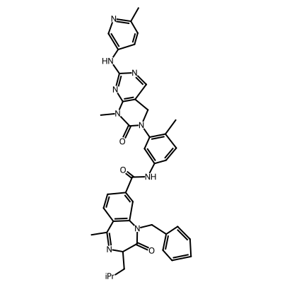 CC1=NC(CC(C)C)C(=O)N(Cc2ccccc2)c2cc(C(=O)Nc3ccc(C)c(N4Cc5cnc(Nc6ccc(C)nc6)nc5N(C)C4=O)c3)ccc21